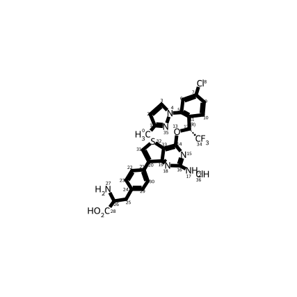 Cc1ccn(-c2cc(Cl)ccc2[C@@H](Oc2nc(N)nc3c(-c4ccc(CC(N)C(=O)O)cc4)csc23)C(F)(F)F)n1.Cl